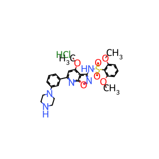 COc1cccc(OC)c1S(=O)(=O)Nc1noc2nc(-c3cccc(N4CCNCC4)c3)cc(OC)c12.Cl